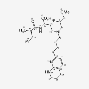 COCC(F)CN(CCCCc1ccc2c(n1)NCCC2)CCC(NC(=O)N(C)CC(C)C)C(=O)O